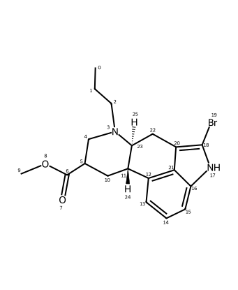 CCCN1CC(C(=O)OC)C[C@H]2c3cccc4[nH]c(Br)c(c34)C[C@@H]21